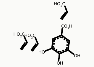 C=CC(=O)O.C=CC(=O)O.C=CC(=O)O.O=C(O)c1cc(O)c(O)c(O)c1